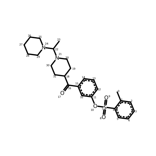 Cc1ccccc1S(=O)(=O)Oc1cccc(C(=O)C2CCN(C(C)N3CCCCC3)CC2)c1